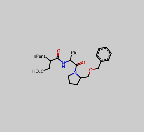 CCCCCC(CC(=O)O)C(=O)NC(C(=O)N1CCCC1COCc1ccccc1)C(C)(C)C